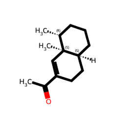 CC(=O)C1=C[C@]2(C)[C@@H](CCC[C@H]2C)CC1